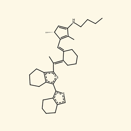 CCCCNC1=C[C@@H](C)C(/C=C2\CCCC\C2=C(\C)c2sc(-c3scc4c3CCCC4)c3c2CCCC3)=C1C